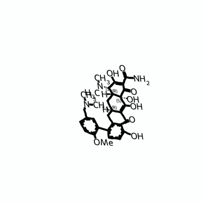 COc1ccc(CN(C)C)cc1-c1ccc(O)c2c1C[C@H]1C[C@@H]3[C@H](N(C)C)C(O)=C(C(N)=O)C(=O)[C@@]3(O)C(O)=C1C2=O